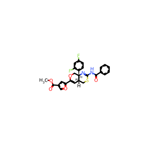 COC(=O)c1coc(C2=C[C@H]3CSC(NC(=O)c4ccccc4)=N[C@@]3(c3ccc(F)cc3F)CO2)c1